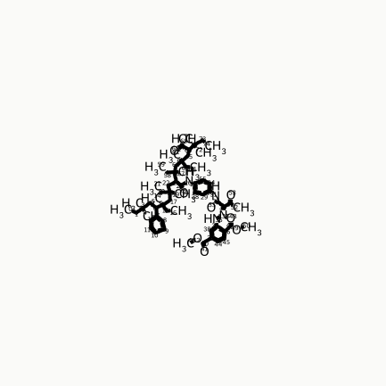 CCC(C)(C)CC(c1ccccc1)C(C)(CC)CC(C)(CC)CC(C(=O)Nc1ccc(NC(=O)/C(=N\Nc2cc(C(=O)OC)ccc2C(=O)OC)C(C)=O)cc1)C(C)(CC)CC(C)(CC)CC(C(=O)O)C(C)(C)CC